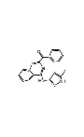 Cc1cc(Nc2nc(C(=O)c3ccccc3)nc3ccccc23)n[nH]1